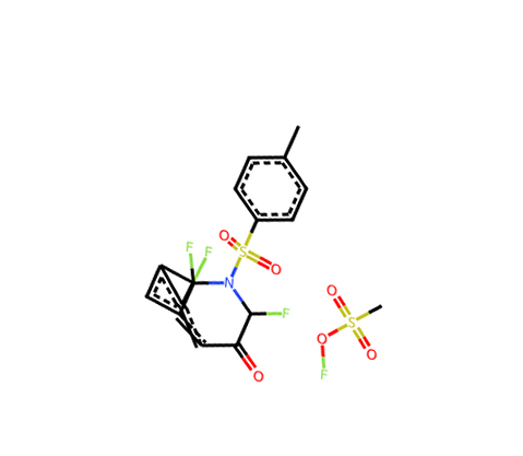 CS(=O)(=O)OF.Cc1ccc(S(=O)(=O)N2C(F)C(=O)c3cc(F)c4cc3C42F)cc1